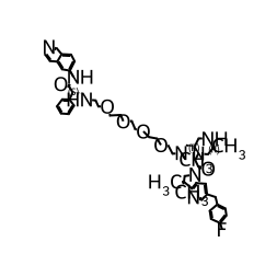 C[C@@H]1CN(CC(=O)N2CC(C)(C)c3ncc(Cc4ccc(F)cc4)cc32)[C@@H](CN(C)CCOCCOCCOCCOCCNC[C@@H](C(=O)Nc2ccc3cnccc3c2)c2ccccc2)CN1